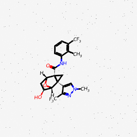 Cc1c(NC(=O)[C@]23C[C@@]2(c2cn(C)nc2C(F)(F)F)[C@H]2O[C@@H]3C[C@@H]2O)cccc1C(F)(F)F